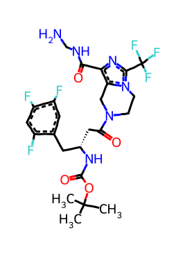 CC(C)(C)OC(=O)N[C@@H](CC(=O)N1CCn2c(C(F)(F)F)nc(C(=O)NCN)c2C1)Cc1cc(F)c(F)cc1F